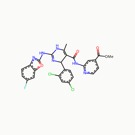 COC(=O)c1ccnc(NC(=O)C2=C(C)NC(Nc3nc4ccc(F)cc4o3)=NC2c2ccc(Cl)cc2Cl)c1